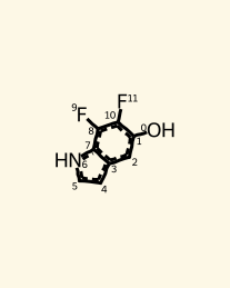 Oc1cc2cc[nH]c2c(F)c1F